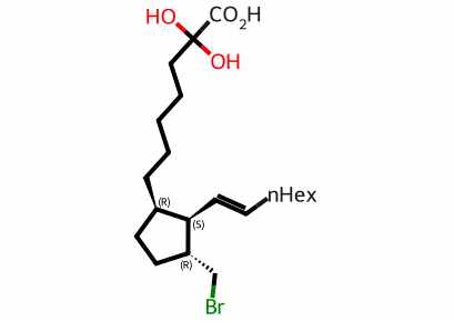 CCCCCCC=C[C@@H]1[C@H](CCCCCC(O)(O)C(=O)O)CC[C@H]1CBr